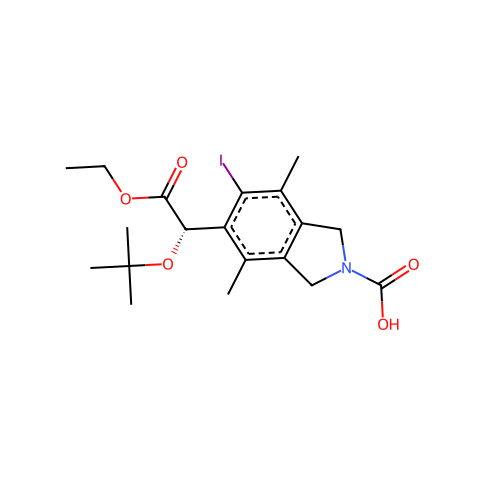 CCOC(=O)[C@@H](OC(C)(C)C)c1c(C)c2c(c(C)c1I)CN(C(=O)O)C2